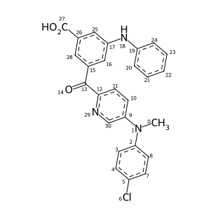 CN(c1ccc(Cl)cc1)c1ccc(C(=O)c2cc(Nc3ccccc3)cc(C(=O)O)c2)nc1